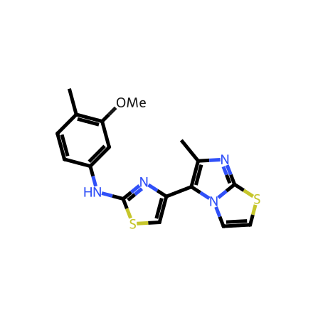 COc1cc(Nc2nc(-c3c(C)nc4sccn34)cs2)ccc1C